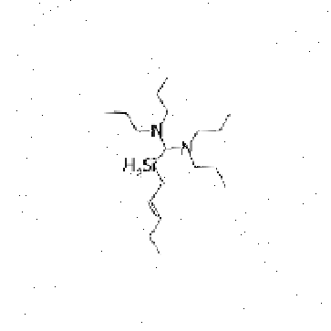 CCC=CC[SiH2]C(N(CCC)CCC)N(CCC)CCC